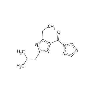 CCc1nc(CC(C)C)nn1C(=O)n1cncn1